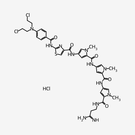 Cl.Cn1cc(NC(=O)c2cc(NC(=O)c3cc(NC(=O)c4csc(NC(=O)c5ccc(N(CCCl)CCCl)cc5)n4)cn3C)cn2C)cc1C(=O)NCCC(=N)N